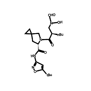 CCCC[C@H](CN(O)C=O)C(=O)N1CC2(CC2)C[C@H]1C(=O)Nc1cc(C(C)(C)C)on1